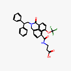 O=C(O)CCNC(=O)c1ccc(CN(CC(c2ccccc2)c2ccccc2)C(=O)c2ccc(OC(F)(F)F)cc2)cc1